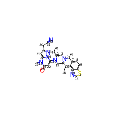 CC[C@H]1CN(C(C)c2ccc3scnc3c2)[C@H](CC)CN1c1cc(=O)n(C)c2cc(CC#N)nn12